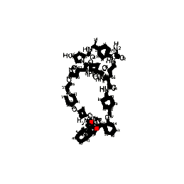 CC(C)[C@@H](C(=O)N1C[C@H](O)C[C@H]1C(=O)N[C@@H](C)c1ccc(C#N)cc1)c1cc(OCCN2CCC(O[C@H]3C[C@H](Oc4cc(N5C6CCC5CN(c5cc(-c7ccccc7OCc7ccc(NC(=O)[C@H](CCCNC(N)=O)NC(=O)C8(C(=O)O)CCC8)cc7)nnc5N)C6)ccn4)C3)CC2)no1